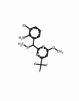 COc1cc(C(F)(F)F)nc(C(SC)c2cccc(Cl)c2N)n1